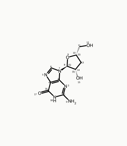 Nc1nc2c(ncn2[C@H]2O[C@H](CO)C[C@@H]2O)c(=O)[nH]1